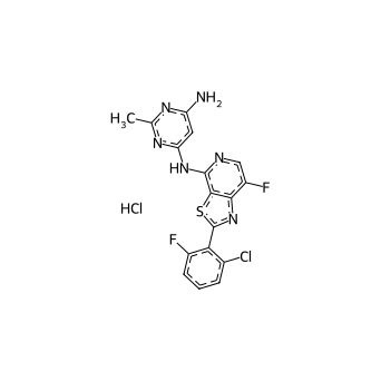 Cc1nc(N)cc(Nc2ncc(F)c3nc(-c4c(F)cccc4Cl)sc23)n1.Cl